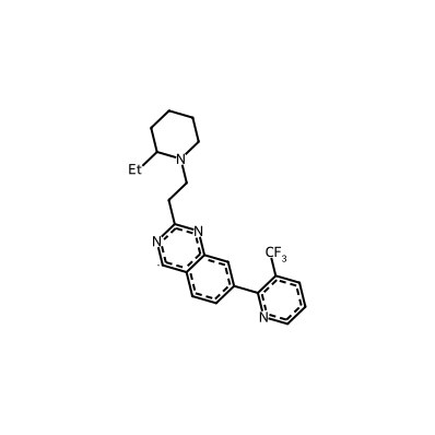 CCC1CCCCN1CCc1n[c]c2ccc(-c3ncccc3C(F)(F)F)cc2n1